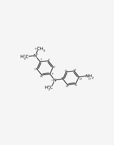 CN(C)c1ccc(N(C)c2ccc(N)cc2)cc1